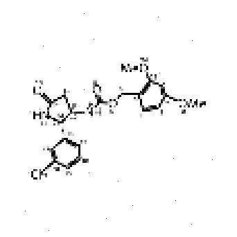 COc1ccc(COC(=O)N[C@@H]2CC(=O)N[C@H]2c2cccc(Cl)c2)c(OC)c1